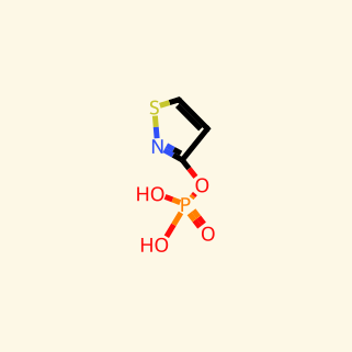 O=P(O)(O)Oc1ccsn1